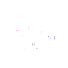 CCCCC.N=C(N)c1ccccc1C=Cc1ccccc1.O=S(=O)(O)CCO